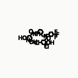 O=C(NCc1cccc(CN(Cc2ccc(C(F)(F)F)cc2)C(=O)c2cc(Cl)cc(Cl)c2O)c1)c1cc(O)nc(O)c1